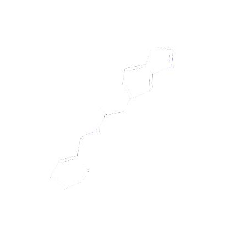 O=C(Cc1ccc2ocnc2c1)NCc1ccccc1